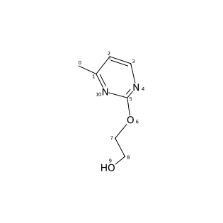 Cc1[c]cnc(OCCO)n1